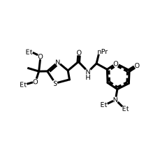 CCCC(NC(=O)C1CSC(C(C)(OCC)OCC)=N1)c1cc(N(CC)CC)cc(=O)o1